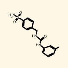 NS(=O)(=O)c1ccc(CNC(=O)Nc2cccc(I)c2)cc1